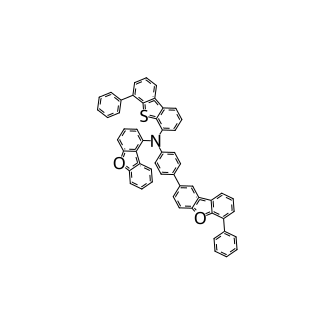 c1ccc(-c2cccc3c2oc2ccc(-c4ccc(N(c5cccc6c5sc5c(-c7ccccc7)cccc56)c5cccc6oc7ccccc7c56)cc4)cc23)cc1